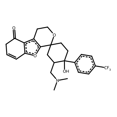 CN(C)CC1CC2(CCC1(O)c1ccc(C(F)(F)F)cc1)OCCc1c2oc2c1C(=O)CC=C2